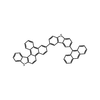 c1ccc2c(-c3ccc4sc5ccc(-c6ccc7c(c6)c6ccccc6c6c7ccc7sc8ccccc8c76)cc5c4c3)c3ccccc3cc2c1